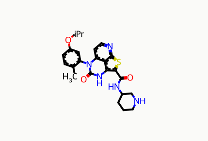 Cc1ccc(OC(C)C)cc1N1C(=O)Nc2c(C(=O)NC3CCCNC3)sc3nccc1c23